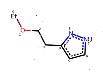 CCOCCc1[c]c[nH]n1